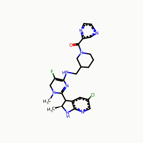 C[C@@H]1Nc2ncc(Cl)cc2C1C1=NC(NCC2CCCN(C(=O)c3cnccn3)C2)=C(F)CN1C